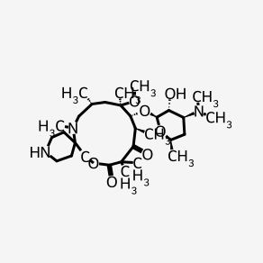 CO[C@]1(C)C[C@@H](C)CN(C)C2(CCNCC2)COC(=O)C(C)(C)C(=O)[C@H](C)[C@H]1O[C@@H]1O[C@H](C)C[C@H](N(C)C)[C@H]1O